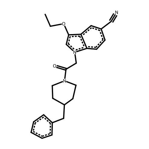 CCOc1cn(CC(=O)N2CCC(Cc3ccccc3)CC2)c2ccc(C#N)cc12